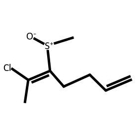 C=CCC/C(=C(\C)Cl)[S+](C)[O-]